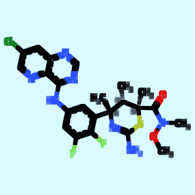 CON(C)C(=O)[C@@]1(C)SC(N)=N[C@](C)(c2cc(Nc3ncnc4cc(Cl)cnc34)cc(F)c2F)[C@@H]1C